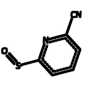 N#Cc1cccc([S]=O)n1